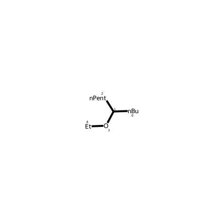 [CH2]CCCC(CCCCC)OCC